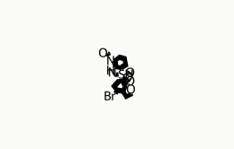 O=CNc1cccc2c1N=C[SH]2S(=O)(=O)c1ccc(Br)c2c1OCC2